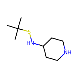 CC(C)(C)SNC1CCNCC1